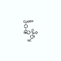 CNC(=O)c1ccc(-c2cnn3ccc(C(=O)N(C4=CC=C4)c4ccc(C#N)cn4)cc23)cc1